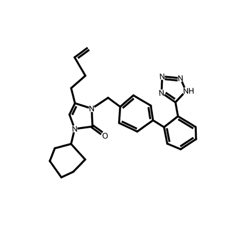 C=CCCc1cn(C2CCCCC2)c(=O)n1Cc1ccc(-c2ccccc2-c2nnn[nH]2)cc1